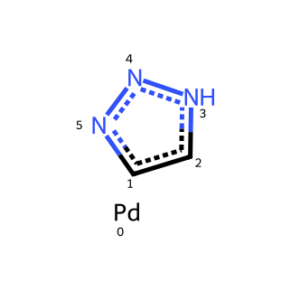 [Pd].c1c[nH]nn1